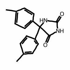 Cc1ccc(C2(c3ccc(C)cc3)NC(=O)NC2=O)cc1